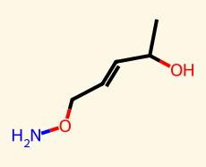 CC(O)C=CCON